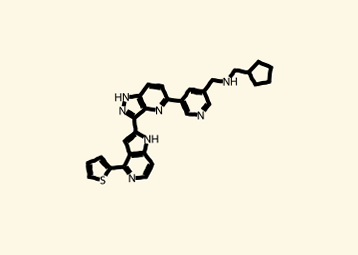 c1csc(-c2nccc3[nH]c(-c4n[nH]c5ccc(-c6cncc(CNCC7CCCC7)c6)nc45)cc23)c1